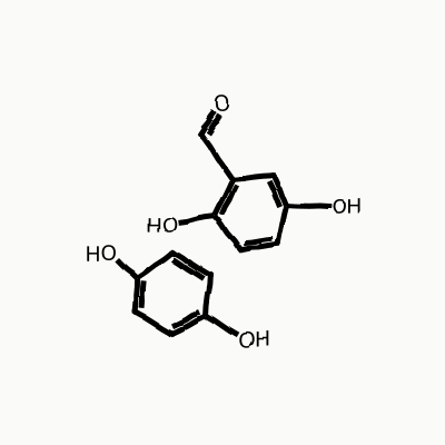 O=Cc1cc(O)ccc1O.Oc1ccc(O)cc1